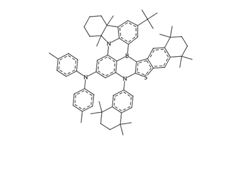 Cc1ccc(N(c2ccc(C)cc2)c2cc3c4c(c2)N2c5c(cc(C(C)(C)C)cc5C5(C)CCCCC25C)B4c2c(sc4cc5c(cc24)C(C)(C)CCC5(C)C)N3c2ccc3c(c2)C(C)(C)CCC3(C)C)cc1